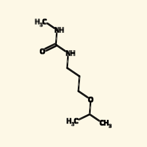 CNC(=O)NCCCOC(C)C